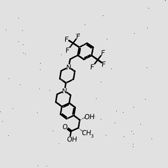 C[C@H](C(=O)O)[C@@H](O)c1ccc2c(c1)CN(C1CCN(Cc3cc(C(F)(F)F)ccc3C(F)(F)F)CC1)CC2